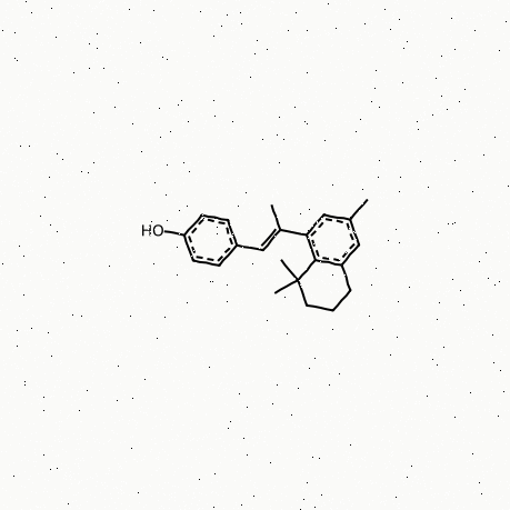 CC(=Cc1ccc(O)cc1)c1cc(C)cc2c1C(C)(C)CCC2